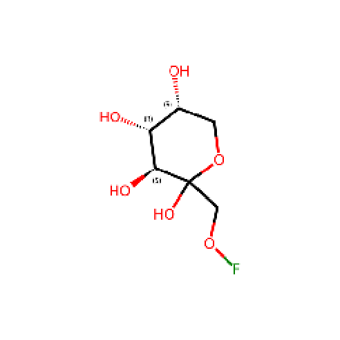 O[C@@H]1[C@H](O)COC(O)(COF)[C@H]1O